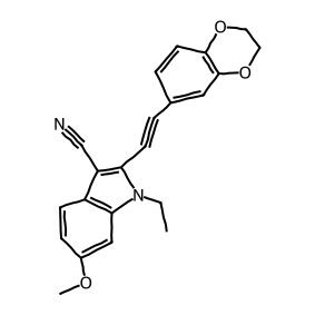 CCn1c(C#Cc2ccc3c(c2)OCCO3)c(C#N)c2ccc(OC)cc21